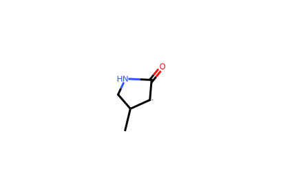 CC1[CH]C(=O)NC1